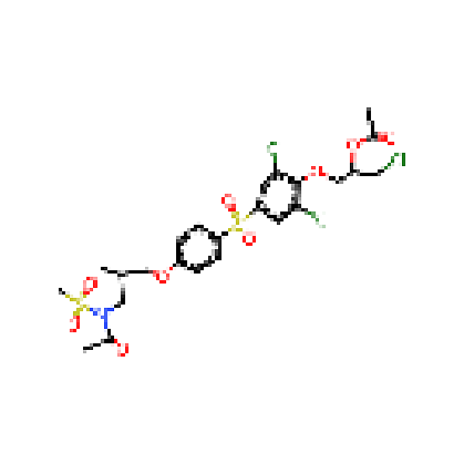 CC(=O)OC(CCl)COc1c(Cl)cc(S(=O)(=O)c2ccc(OCC(C)CN(C(C)=O)S(C)(=O)=O)cc2)cc1Cl